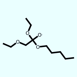 CCCCCOC([O])(COCC)OCC